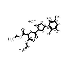 CCOC(=O)C(CC(=O)C1C[C@H](c2c(F)c(F)cc(F)c2F)CN1)C(=O)OCC.Cl